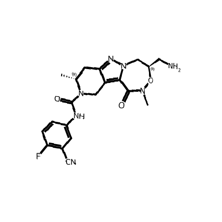 C[C@@H]1Cc2nn3c(c2CN1C(=O)Nc1ccc(F)c(C#N)c1)C(=O)N(C)O[C@H](CN)C3